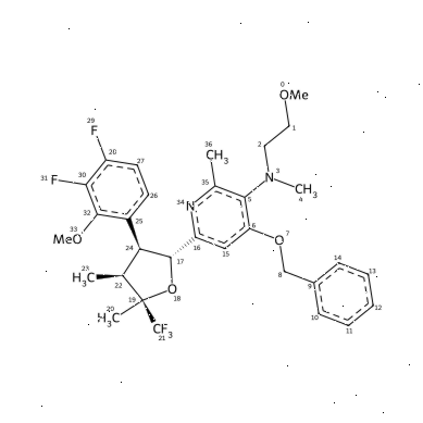 COCCN(C)c1c(OCc2ccccc2)cc([C@@H]2O[C@@](C)(C(F)(F)F)[C@@H](C)[C@H]2c2ccc(F)c(F)c2OC)nc1C